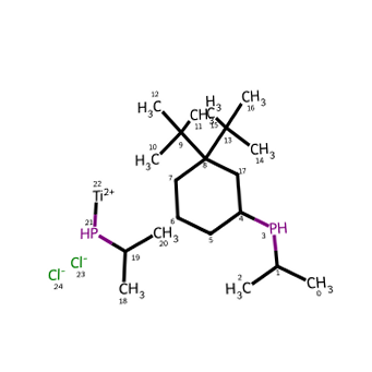 CC(C)PC1CCCC(C(C)(C)C)(C(C)(C)C)C1.CC(C)[PH][Ti+2].[Cl-].[Cl-]